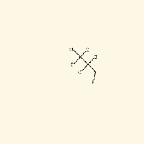 FCC(Cl)(Cl)C(Cl)(Cl)Cl